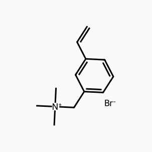 C=Cc1cccc(C[N+](C)(C)C)c1.[Br-]